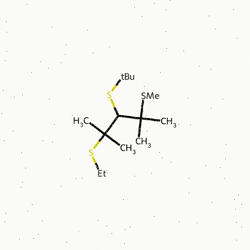 CCSC(C)(C)[C](SC(C)(C)C)C(C)(C)SC